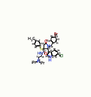 Cc1ccc(SC2(C(=O)NCCN(C(C)C)C(C)C)CC(=O)N(Cc3ccc(Br)cc3)C2c2c[nH]c3cc(Cl)ccc23)cc1